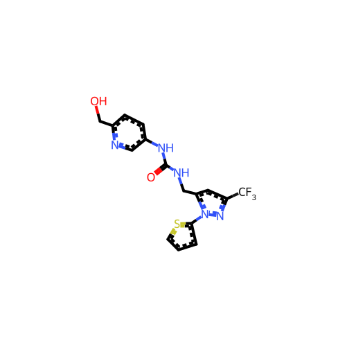 O=C(NCc1cc(C(F)(F)F)nn1-c1cccs1)Nc1ccc(CO)nc1